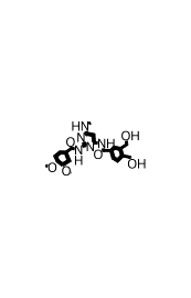 CNc1cc(NC(=O)c2ccc(CO)c(CO)c2)nc(NC(=O)c2ccc(OC)c(OC)c2)n1